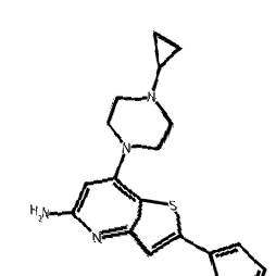 Nc1cc(N2CCN(C3CC3)CC2)c2sc(-c3ccn[nH]3)cc2n1